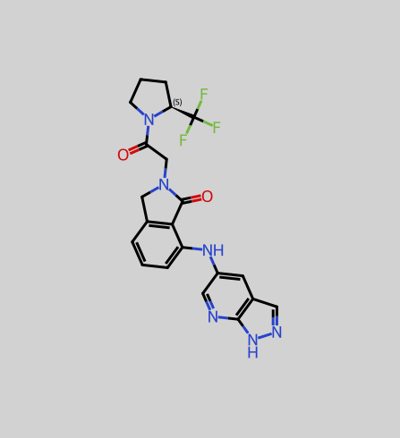 O=C1c2c(cccc2Nc2cnc3[nH]ncc3c2)CN1CC(=O)N1CCC[C@H]1C(F)(F)F